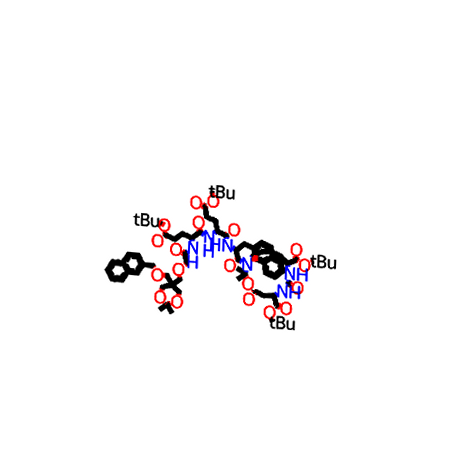 CC(C)(C)OC(=O)CCC(NC(=O)COCC1(COCc2ccc3ccccc3c2)COC(C)(C)OC1)C(=O)NC(CCC(=O)OC(C)(C)C)C(=O)NC(Cc1ccc2ccccc2c1)C(=O)N1CCCCC(C(=O)OC(C)(C)C)NC(=O)NC(C(=O)OC(C)(C)C)CC(=O)OC1(C)C